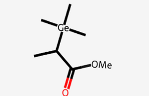 COC(=O)[CH](C)[Ge]([CH3])([CH3])[CH3]